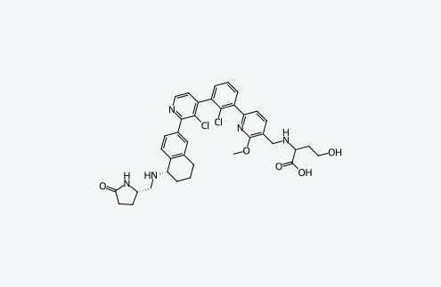 COc1nc(-c2cccc(-c3ccnc(-c4ccc5c(c4)CCC[C@@H]5NC[C@@H]4CCC(=O)N4)c3Cl)c2Cl)ccc1CNC(CCO)C(=O)O